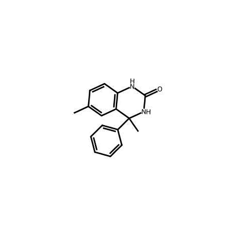 Cc1ccc2c(c1)C(C)(c1ccccc1)NC(=O)N2